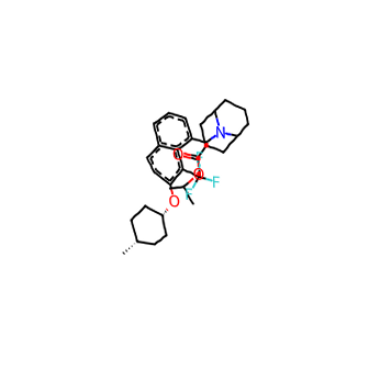 CC(C)OC(=O)C1CC2CCCC(C1)N2Cc1cccc2ccc(O[C@H]3CC[C@@H](C)CC3)c(C(F)(F)F)c12